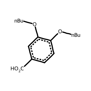 CCCCOc1ccc(C(=O)O)cc1OCCCC